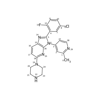 Cc1cc(-n2c(-c3cc(Cl)ccc3F)nc3ccc(N4CCNCC4)nc32)ccn1